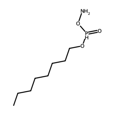 CCCCCCCCO[PH](=O)ON